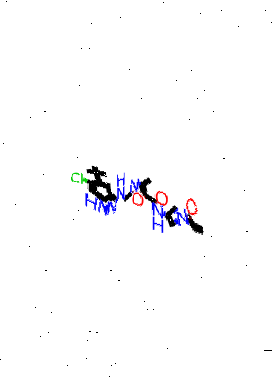 C=CC(=O)N1CC(NC(=O)c2oc(CNc3n[nH]c4cc(Cl)c(C(C)(C)C)cc34)nc2C)C1